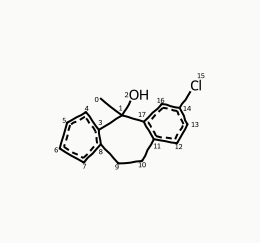 CC1(O)c2ccccc2CCc2ccc(Cl)cc21